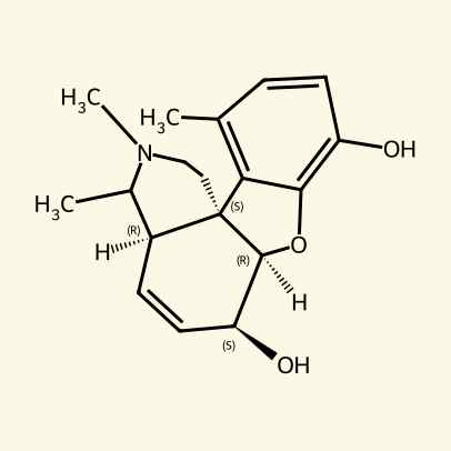 Cc1ccc(O)c2c1[C@]13CCN(C)C(C)[C@@H]1C=C[C@H](O)[C@@H]3O2